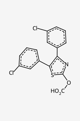 O=C(O)Oc1nc(-c2cccc(Cl)c2)c(-c2cccc(Cl)c2)s1